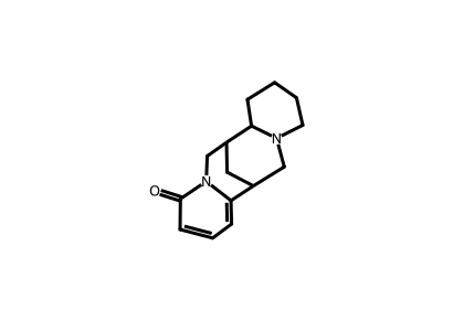 O=c1cccc2n1CC1CC2CN2CCCCC12